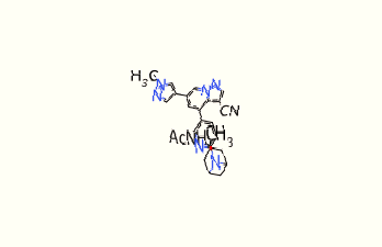 CC(=O)NC1(C)CC2CC(C1)N2c1ccc(-c2cc(-c3cnn(C)c3)cn3ncc(C#N)c23)cn1